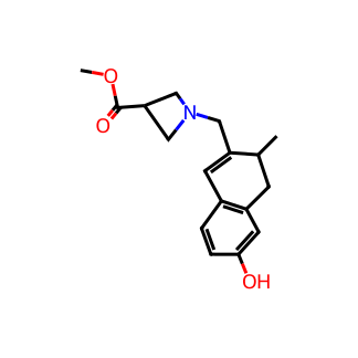 COC(=O)C1CN(CC2=Cc3ccc(O)cc3CC2C)C1